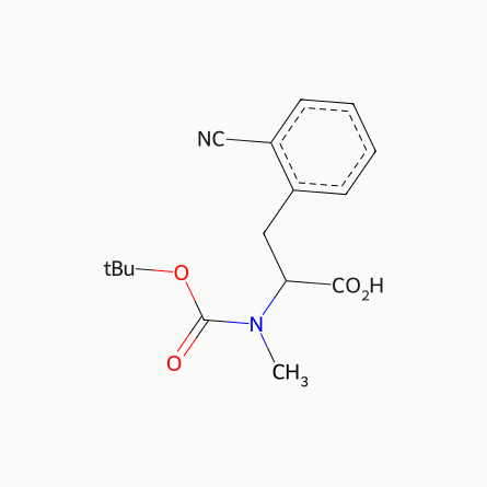 CN(C(=O)OC(C)(C)C)C(Cc1ccccc1C#N)C(=O)O